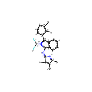 CCC1=C(C)/C(=N/c2c3ccccc3c(-c3cccc(C)c3C)n2B(F)F)N=C1C